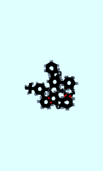 CC(C)(C)c1ccc(N2c3cc4c(oc5ccccc54)c4c3B(c3c2ccc2oc5ccccc5c32)N2c3ccccc3Sc3cccc-4c32)c(-c2ccccc2)c1